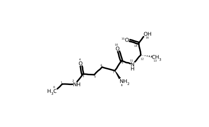 CCNC(=O)CC[C@H](N)C(=O)N[C@@H](C)C(=O)O